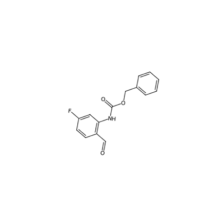 O=Cc1ccc(F)cc1NC(=O)OCc1ccccc1